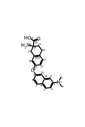 CN(C)c1ccc2ccc(Oc3ccc4c(c3)CC(N)(C(=O)O)CC4)cc2c1